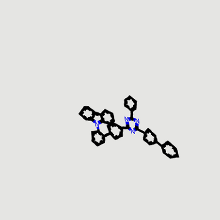 c1ccc(-c2ccc(-c3nc(-c4ccccc4)nc(-c4ccc(-c5ccccc5-n5c6ccccc6c6ccccc65)cc4)n3)cc2)cc1